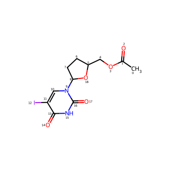 CC(=O)OCC1CCC(n2cc(I)c(=O)[nH]c2=O)O1